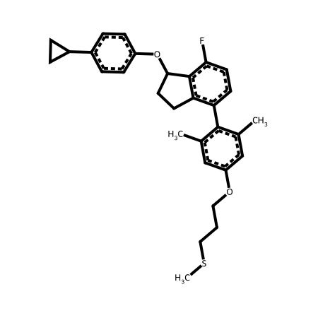 CSCCCOc1cc(C)c(-c2ccc(F)c3c2CCC3Oc2ccc(C3CC3)cc2)c(C)c1